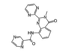 Cn1c(-c2ncccn2)nc2c(NC(=O)c3cnccn3)cccc2c1=O